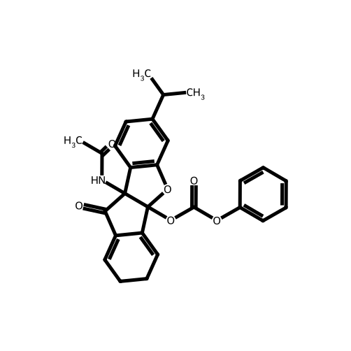 CC(=O)NC12C(=O)C3=CCCC=C3C1(OC(=O)Oc1ccccc1)Oc1cc(C(C)C)ccc12